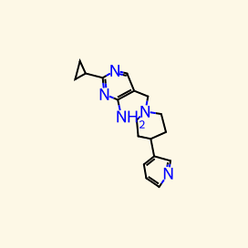 Nc1nc(C2CC2)ncc1CN1CCC(c2cccnc2)CC1